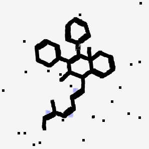 C\C=C(C)/C=C\C=C\C1C2=CC=CCC2(C)C([PH]2=CC=CC=C2)=C(C2=CC=CCC2)C1C